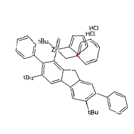 Cl.Cl.[CH2]=[Zr]([CH2]CCC)([CH2]c1ccccc1)([C]1=CC=CC1)[c]1c2c(cc(C(C)(C)C)c1-c1ccccc1)-c1cc(C(C)(C)C)c(-c3ccccc3)cc1C2